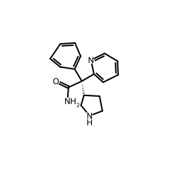 NC(=O)[C@@](c1ccccc1)(c1ccccn1)C1CCNC1